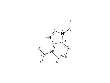 CCn1cnc2c(N(C)C)ncnc21